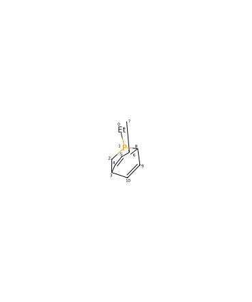 CCP1CC2C=CC(C)=C1C=C2